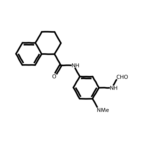 CNc1ccc(NC(=O)C2CCCc3ccccc32)cc1NC=O